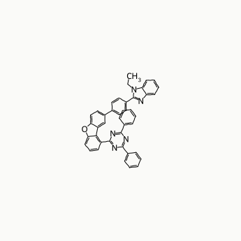 CCn1c(-c2ccc(-c3ccc4oc5cccc(-c6nc(-c7ccccc7)nc(-c7ccccc7)n6)c5c4c3)cc2)nc2ccccc21